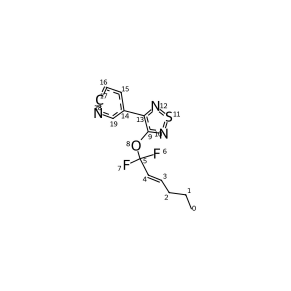 CCC/C=C/C(F)(F)Oc1nsnc1-c1cccnc1